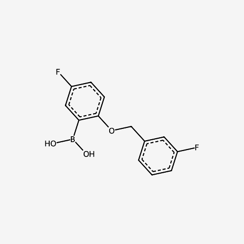 OB(O)c1cc(F)ccc1OCc1cccc(F)c1